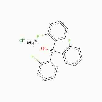 [Cl-].[Mg+2].[O-][Si](c1ccccc1F)(c1ccccc1F)c1ccccc1F